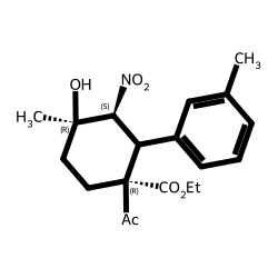 CCOC(=O)[C@]1(C(C)=O)CC[C@@](C)(O)[C@@H]([N+](=O)[O-])C1c1cccc(C)c1